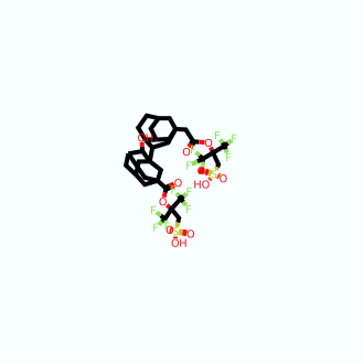 O=C(CC12CC3CCC(C(C3)C1)C(C13CC4CC(CC(C(=O)OC(CS(=O)(=O)O)(C(F)(F)F)C(F)(F)F)(C4)C1)C3O)C2)OC(CS(=O)(=O)O)(C(F)(F)F)C(F)(F)F